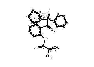 C=C(C)C(=O)Oc1cccc(OC)c1C(=O)P(=O)(c1ccccc1)c1ccccc1